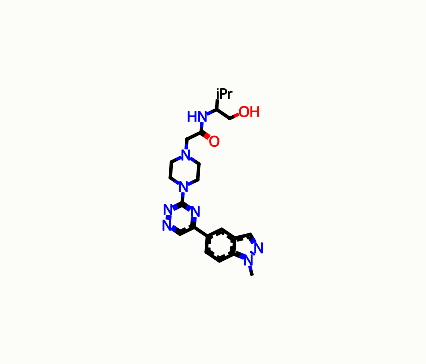 CC(C)C(CO)NC(=O)CN1CCN(c2nncc(-c3ccc4c(cnn4C)c3)n2)CC1